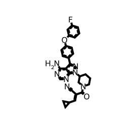 N#CC(=CC1CC1)C(=O)N1CCCC(n2nc(-c3ccc(Oc4cccc(F)c4)cc3)c3c(N)ncnc32)C1